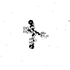 CCOC(OCC)[C@H](C)N(Cc1csc2ccccc12)C(=O)[C@H](CCCCN(C(=O)O)C(C)(C)C)NC(=O)CONC(=O)NCc1ccncc1